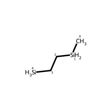 C[SiH2]CC[SiH3]